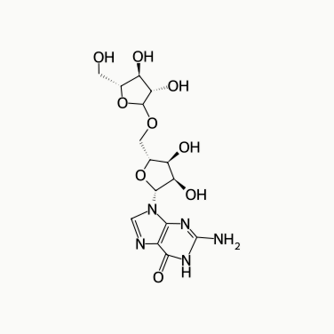 Nc1nc2c(ncn2[C@@H]2O[C@H](COC3O[C@H](CO)[C@@H](O)[C@@H]3O)[C@@H](O)[C@H]2O)c(=O)[nH]1